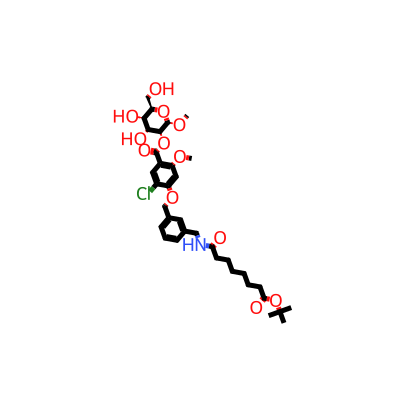 COc1cc(OCc2cccc(CNC(=O)CCCCCCC(=O)OC(C)(C)C)c2)c(Cl)cc1C(=O)O[C@H]1[C@@H](OC)O[C@H](CO)[C@@H](O)[C@@H]1O